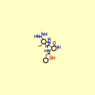 CCc1cc(C(=N)NC)cc2[nH]c(-c3c(N[C@H](CO)Cc4ccccc4)cc[nH]c3=O)nc12